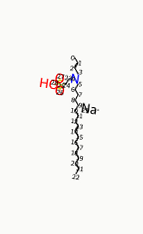 CC=CCN(CCCCCCCCC=CCCCCCCCC)CCS(=O)(=O)O.[Na]